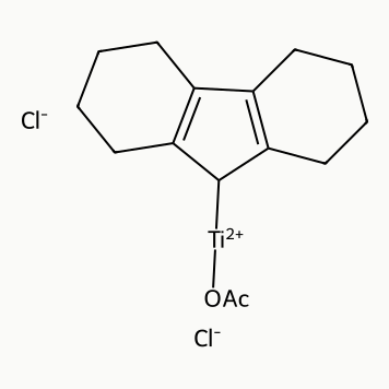 CC(=O)[O][Ti+2][CH]1C2=C(CCCC2)C2=C1CCCC2.[Cl-].[Cl-]